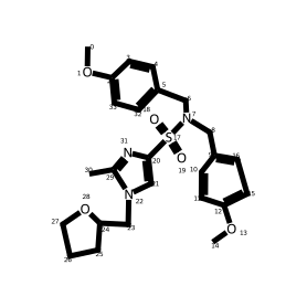 COc1ccc(CN(Cc2ccc(OC)cc2)S(=O)(=O)c2cn(CC3CCCO3)c(C)n2)cc1